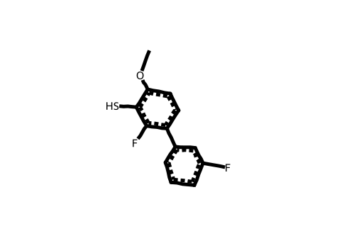 COc1ccc(-c2cccc(F)c2)c(F)c1S